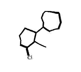 CC1C(Cl)CCCC1C1CCCCCC1